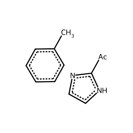 CC(=O)c1ncc[nH]1.Cc1ccccc1